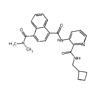 CN(C)C(=O)c1ccc(C(=O)Nc2cccnc2C(=O)NCC2CCC2)c2ccccc12